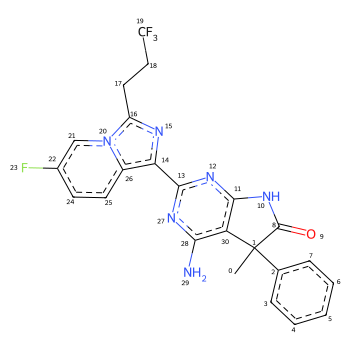 CC1(c2ccccc2)C(=O)Nc2nc(-c3nc(CCC(F)(F)F)n4cc(F)ccc34)nc(N)c21